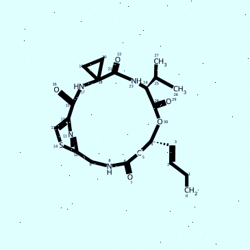 [CH2]C/C=C/[C@@H]1CC(=O)NCc2nc(cs2)C(=O)NC2(CC2)C(=O)N[C@@H](C(C)C)C(=O)O1